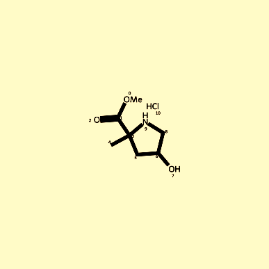 COC(=O)C1(C)CC(O)CN1.Cl